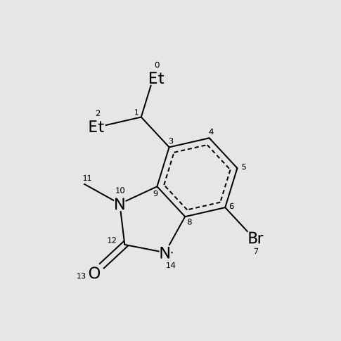 CCC(CC)c1ccc(Br)c2c1N(C)C(=O)[N]2